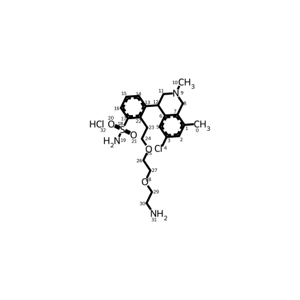 Cc1cc(Cl)cc2c1CN(C)CC2c1cccc(S(N)(=O)=O)c1CCOCCOCCN.Cl